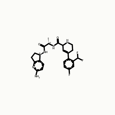 C[C@H](NC(=O)C1C=C(c2ccc(F)cc2C(F)F)CCN1)C(=O)N[C@@H]1CCc2nc(N)ccc21